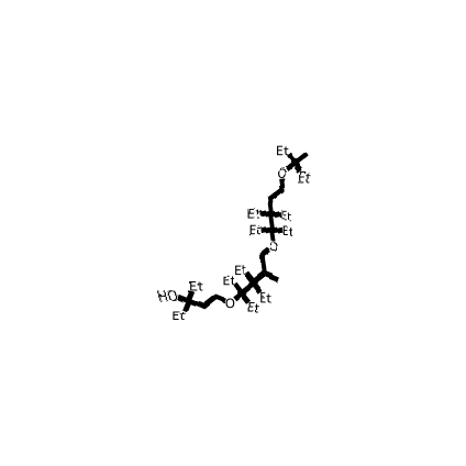 CCC(O)(CC)CCOC(CC)(CC)C(CC)(CC)C(C)COC(CC)(CC)C(CC)(CC)CCOC(C)(CC)CC